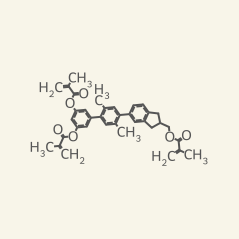 C=C(C)C(=O)OCC1Cc2ccc(-c3cc(C)c(-c4cc(OC(=O)C(=C)C)cc(OC(=O)C(=C)C)c4)cc3C)cc2C1